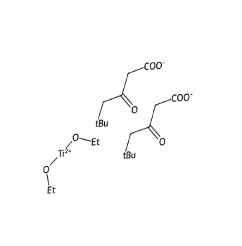 CC(C)(C)CC(=O)CC(=O)[O-].CC(C)(C)CC(=O)CC(=O)[O-].CC[O][Ti+2][O]CC